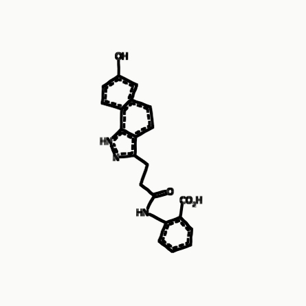 O=C(CCc1n[nH]c2c1ccc1cc(O)ccc12)Nc1ccccc1C(=O)O